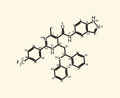 CC1=C(C(=O)Nc2ccc3[nH]ncc3c2)C(CC(Sc2ccccc2)c2ccccc2)NC(c2ccc(C(F)(F)F)cc2)=N1